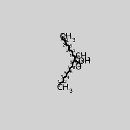 CCCCCCCCCCC(C(=O)O)C(C)CCCCCCCC